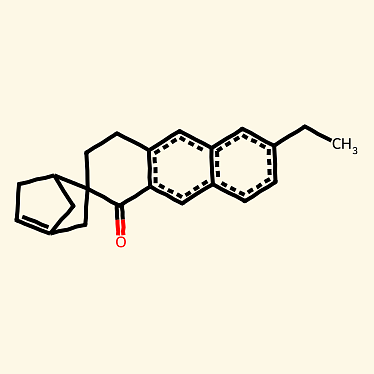 CCc1ccc2cc3c(cc2c1)CCC1(CC2=CCC1C2)C3=O